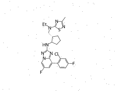 CCN(C[C@@H]1CCCC1Nc1nc2c(-c3ccc(F)cc3Cl)cc(F)cn2n1)c1nc(C)ns1